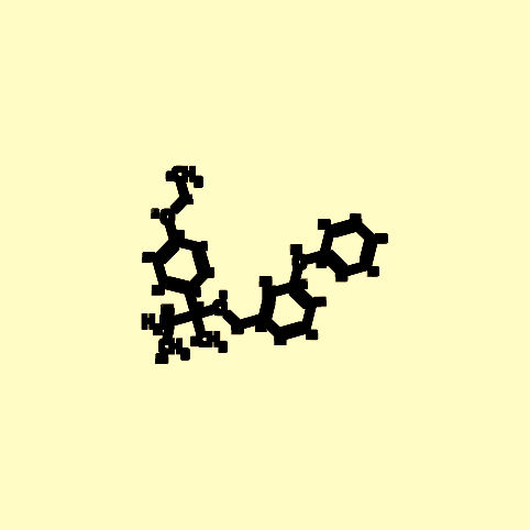 CCOc1ccc(C(C)(OCc2cccc(Oc3ccccc3)n2)[SiH2]C)cc1